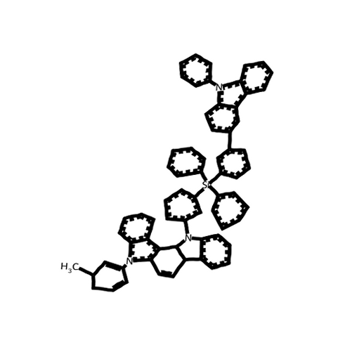 CC1C=C(n2c3c(c4ccccc42)C2C(C=C3)c3ccccc3N2c2cccc([Si](c3ccccc3)(c3ccccc3)c3cccc(-c4ccc5c(c4)c4ccccc4n5-c4ccccc4)c3)c2)C=CC1